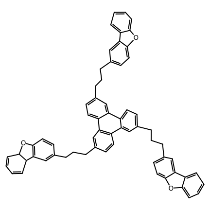 C1=CC2Oc3ccc(CCCc4ccc5c(c4)c4ccc(CCCc6ccc7oc8ccccc8c7c6)cc4c4ccc(CCCc6ccc7oc8ccccc8c7c6)cc54)cc3C2C=C1